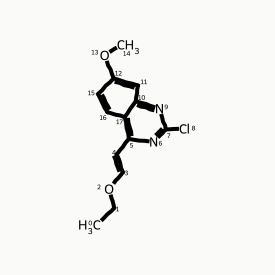 CCOC=Cc1nc(Cl)nc2cc(OC)ccc12